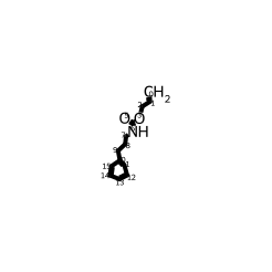 C=CCOC(=O)NCCCc1ccccc1